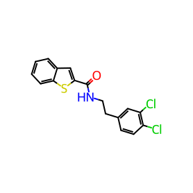 O=C(NCCc1ccc(Cl)c(Cl)c1)c1cc2ccccc2s1